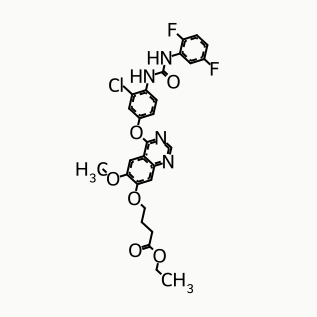 CCOC(=O)CCCOc1cc2ncnc(Oc3ccc(NC(=O)Nc4cc(F)ccc4F)c(Cl)c3)c2cc1OC